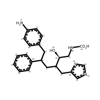 Nc1ccc(CC(CC(Cc2cncs2)[C@@H](O)CNC(=O)O)c2ccccc2)cc1